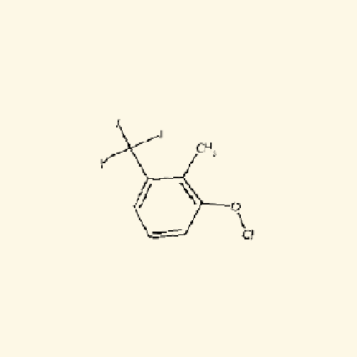 Cc1c(OCl)cccc1C(I)(I)I